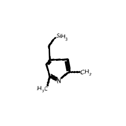 Cc1cc(C[SiH3])cc(C)n1